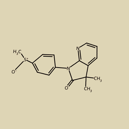 C[S+]([O-])c1ccc(N2C(=O)C(C)(C)c3cccnc32)cc1